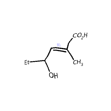 CCC(O)/C=C(\C)C(=O)O